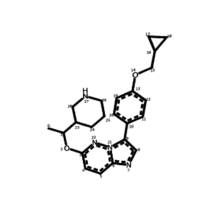 CC(Oc1ccc2ncc(-c3ccc(OCC4CC4)cc3)n2n1)C1CCCNC1